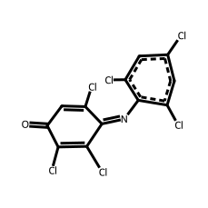 O=C1C=C(Cl)C(=Nc2c(Cl)cc(Cl)cc2Cl)C(Cl)=C1Cl